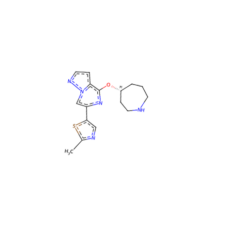 Cc1ncc(-c2cn3nccc3c(O[C@@H]3CCCNCC3)n2)s1